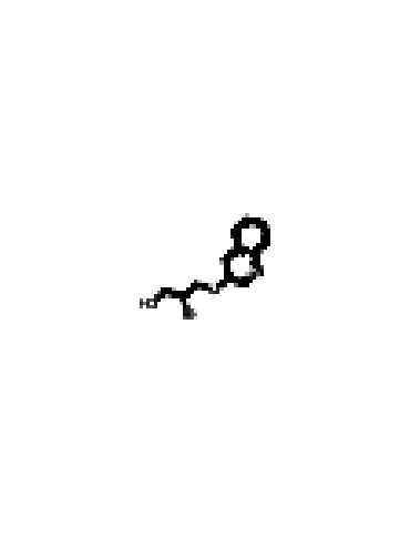 OCC(O)COc1cnc2ccccc2c1